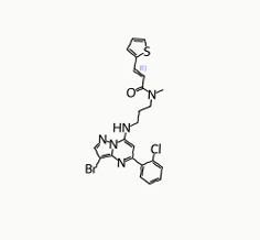 CN(CCCNc1cc(-c2ccccc2Cl)nc2c(Br)cnn12)C(=O)/C=C/c1cccs1